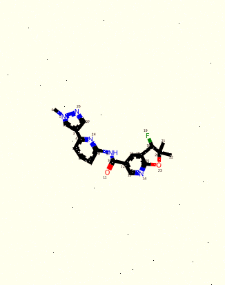 Cn1cc(-c2cccc(NC(=O)c3cnc4c(c3)C(F)C(C)(C)O4)n2)cn1